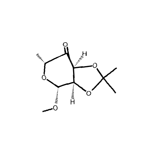 CO[C@@H]1O[C@H](C)C(=O)[C@H]2OC(C)(C)O[C@@H]12